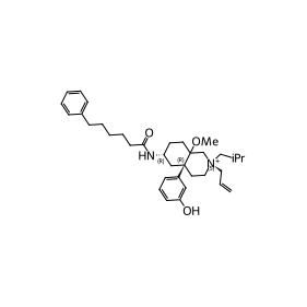 C=CC[N@@+]1(CC(C)C)CC[C@]2(c3cccc(O)c3)C[C@H](NC(=O)CCCCCc3ccccc3)CCC2(OC)C1